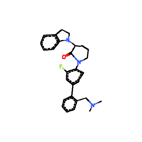 CN(C)Cc1ccccc1-c1ccc(N2CCCC(N3CCc4ccccc43)C2=O)c(F)c1